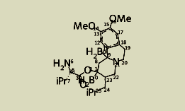 BC1(OC(=O)[C@@H](N)C(C)C)CC2(B)c3cc(OC)c(OC)cc3CCN2CC1CC(C)C